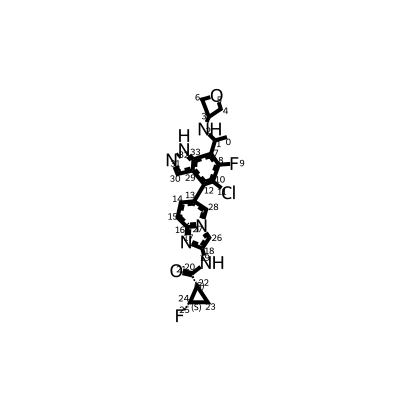 CC(NC1COC1)c1c(F)c(Cl)c(-c2ccc3nc(NC(=O)[C@@H]4C[C@@H]4F)cn3c2)c2cn[nH]c12